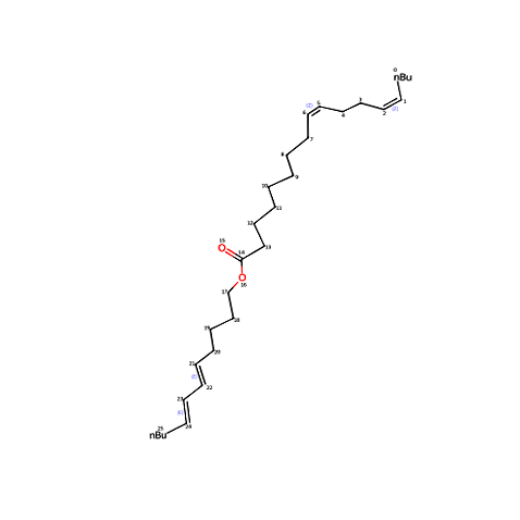 CCCC/C=C\CC/C=C\CCCCCCCC(=O)OCCCC/C=C/C=C/CCCC